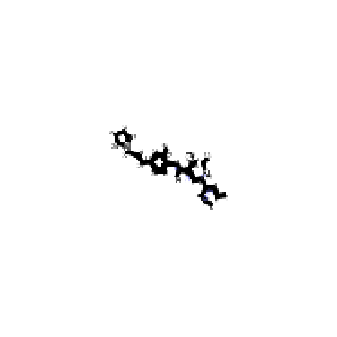 C=C/C=C(\C=C/C)C(/C=C(C(C)=O)/C(C)=C/c1ccc(CCCN2CCCC2)cc1C)=N/CC